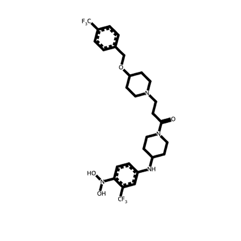 O=C(CCN1CCC(OCc2ccc(C(F)(F)F)cc2)CC1)N1CCC(Nc2ccc(N(O)O)c(C(F)(F)F)c2)CC1